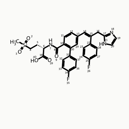 CS(=O)(=O)CC[C@H](NC(=O)c1ccc(C=C(Cc2ncc[nH]2)c2ccc(F)cc2)cc1-c1ccc(F)cc1)C(=O)O